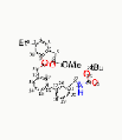 CCc1ccc(CC(=O)OC)c(OCc2cccc(-c3cccc(CNC(=O)OC(C)(C)C)c3)c2)c1